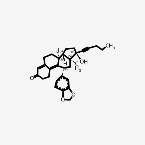 CCCC#C[C@@]1(O)CC[C@H]2[C@@H]3CCC4=CC(=O)CCC4=C3[C@@H](c3ccc4c(c3)OCO4)C[C@@]21C